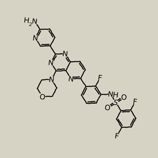 Nc1ccc(-c2nc(N3CCOCC3)c3nc(-c4cccc(NS(=O)(=O)c5cc(F)ccc5F)c4F)ccc3n2)cn1